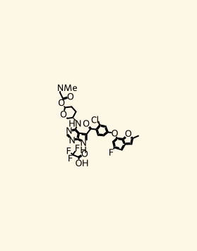 CNCC(=O)O[C@H]1CC[C@@H](Nc2ncnc3[nH]cc(C(=O)c4ccc(Oc5cc(F)cc6cc(C)oc56)cc4Cl)c23)CO1.O=C(O)C(F)(F)F